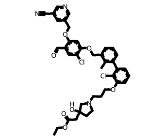 CCOC(=O)CC1(O)CCN(CCCOc2cccc(-c3cccc(COc4cc(OCc5cncc(C#N)c5)c(C=O)cc4Cl)c3C)c2Cl)C1